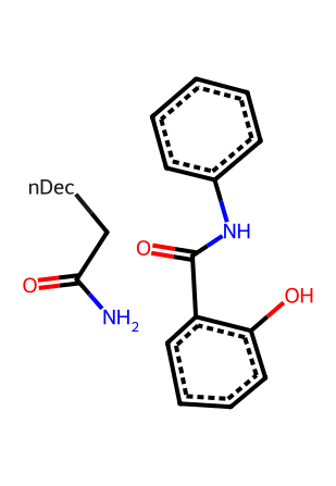 CCCCCCCCCCCC(N)=O.O=C(Nc1ccccc1)c1ccccc1O